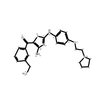 CCc1cccc(C(=O)c2sc(Nc3ccc(OCCN4CCCC4)cc3)nc2N)c1